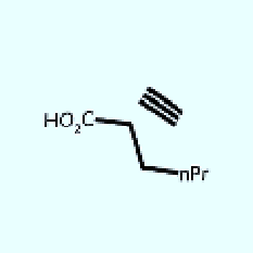 C#C.CCCCCC(=O)O